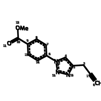 C#CCc1cn(-c2ccc(C(=O)OC)cc2)nn1